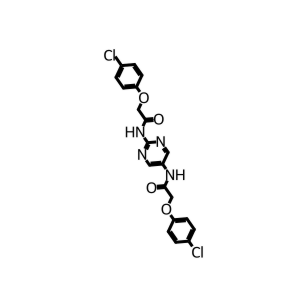 O=C(COc1ccc(Cl)cc1)Nc1cnc(NC(=O)COc2ccc(Cl)cc2)nc1